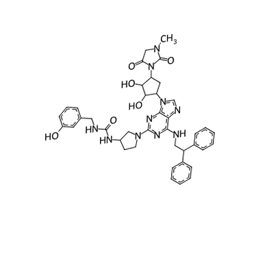 CN1CC(=O)N(C2CC(n3cnc4c(NCC(c5ccccc5)c5ccccc5)nc(N5CCC(NC(=O)NCc6cccc(O)c6)C5)nc43)C(O)C2O)C1=O